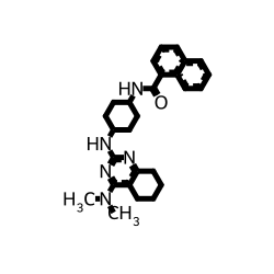 CN(C)c1nc(NC2CCC(NC(=O)c3cccc4ccccc34)CC2)nc2c1CCCC2